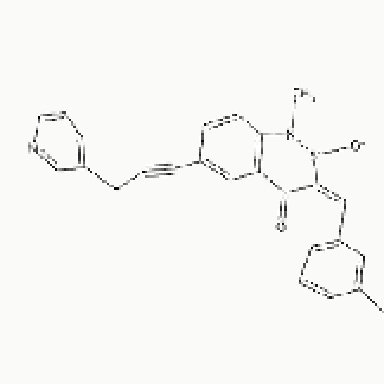 CN1c2ccc(C#CCc3cccnc3)cc2C(=O)/C(=C\c2cccc(F)c2)[S+]1[O-]